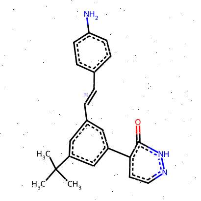 CC(C)(C)c1cc(/C=C/c2ccc(N)cc2)cc(-c2ccn[nH]c2=O)c1